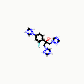 OC(Cn1cncn1)(Cn1cncn1)c1ccc(-n2cncn2)cc1F